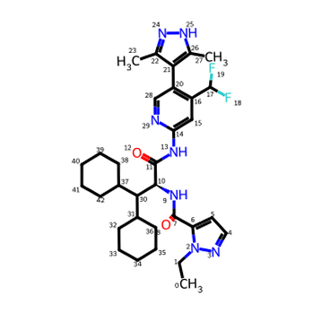 CCn1nccc1C(=O)N[C@H](C(=O)Nc1cc(C(F)F)c(-c2c(C)n[nH]c2C)cn1)C(C1CCCCC1)C1CCCCC1